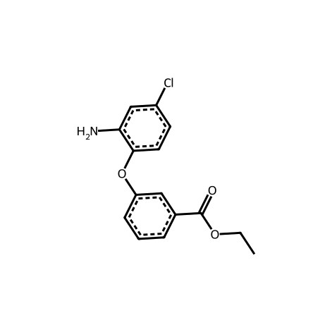 CCOC(=O)c1cccc(Oc2ccc(Cl)cc2N)c1